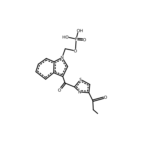 CCC(=O)c1csc(C(=O)c2cn(COP(=O)(O)O)c3ccccc23)n1